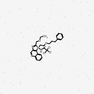 CCOCC1=Nc2cnc3ccccc3c2[N+]1(CCOCCCc1ccccc1)NC(=O)C(Cl)(Cl)Cl